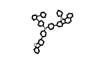 c1ccc(-c2ccccc2-c2ccc(N(c3ccc(-c4ccc5c(c4)oc4ccccc45)cc3)c3ccc(-c4ccc5c6ccc7ccccc7c6n(-c6ccccc6)c5c4)cc3)cc2)cc1